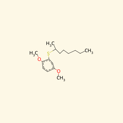 CCCCCCC(C)Sc1cc(OC)ccc1OC